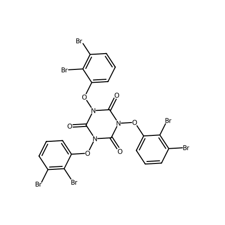 O=c1n(Oc2cccc(Br)c2Br)c(=O)n(Oc2cccc(Br)c2Br)c(=O)n1Oc1cccc(Br)c1Br